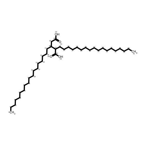 CCCCCCCCCCCCCCCCCCC(CC(=O)O)C(CCCCCCCCCCCCCCCCCC)C(=O)O